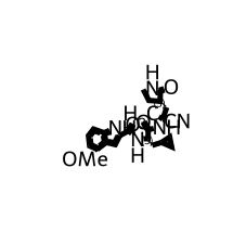 COc1cccc2[nH]c(C(=O)N[C@@H](CC3CC3)C(=O)NC(C)(C#N)C[C@@H]3CCNC3=O)cc12